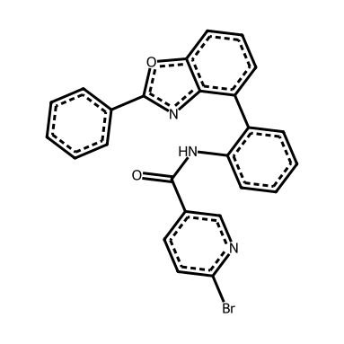 O=C(Nc1ccccc1-c1cccc2oc(-c3ccccc3)nc12)c1ccc(Br)nc1